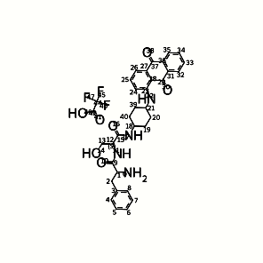 NC(Cc1ccccc1)C(=O)N[C@@H](CO)C(=O)NC1CCC(Nc2cccc3c2C(=O)c2ccccc2C3=O)CC1.O=C(O)C(F)(F)F